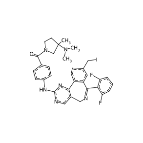 CN(C)C1(C)CCN(C(=O)c2ccc(Nc3ncc4c(n3)-c3ccc(CI)cc3C(c3c(F)cccc3F)=NC4)cc2)C1